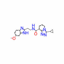 COc1ccc2nc(CCNC(=O)c3cccn4c(C5CC5)nnc34)[nH]c2c1